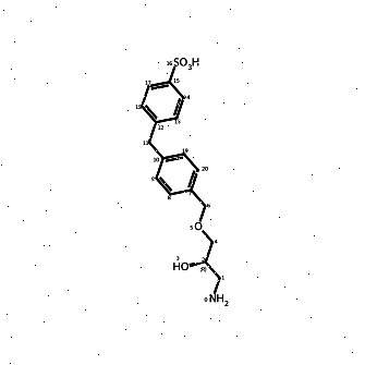 NC[C@@H](O)COCc1ccc(Cc2ccc(S(=O)(=O)O)cc2)cc1